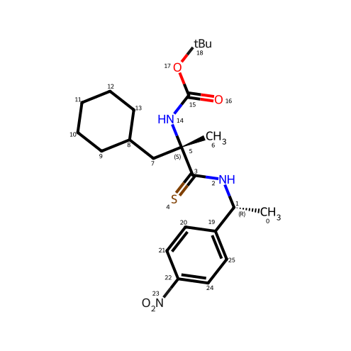 C[C@@H](NC(=S)[C@](C)(CC1CCCCC1)NC(=O)OC(C)(C)C)c1ccc([N+](=O)[O-])cc1